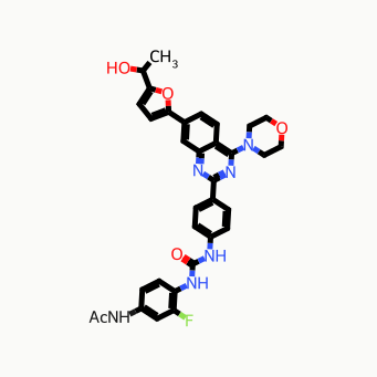 CC(=O)Nc1ccc(NC(=O)Nc2ccc(-c3nc(N4CCOCC4)c4ccc(-c5ccc(C(C)O)o5)cc4n3)cc2)c(F)c1